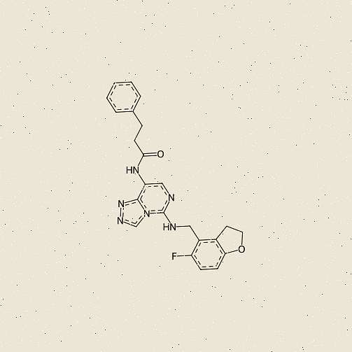 O=C(CCc1ccccc1)Nc1cnc(NCc2c(F)ccc3c2CCO3)n2cnnc12